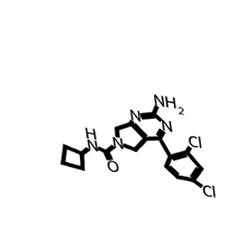 Nc1nc2c(c(-c3ccc(Cl)cc3Cl)n1)CN(C(=O)NC1CCC1)C2